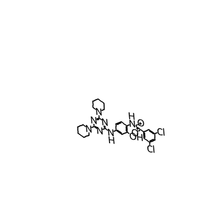 O=S(=O)(Nc1ccc(Nc2nc(N3CCCCC3)nc(N3CCCCC3)n2)cc1O)c1cc(Cl)cc(Cl)c1